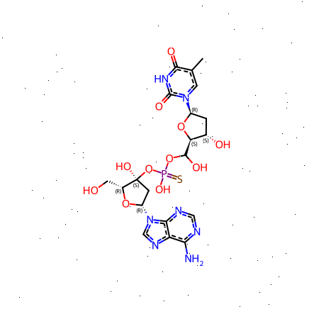 Cc1cn([C@H]2C[C@H](O)[C@@H](C(O)OP(O)(=S)O[C@@]3(O)C[C@H](n4cnc5c(N)ncnc54)O[C@@H]3CO)O2)c(=O)[nH]c1=O